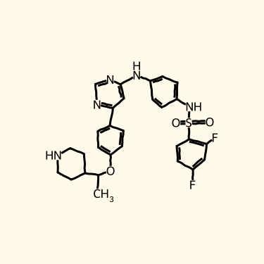 CC(Oc1ccc(-c2cc(Nc3ccc(NS(=O)(=O)c4ccc(F)cc4F)cc3)ncn2)cc1)C1CCNCC1